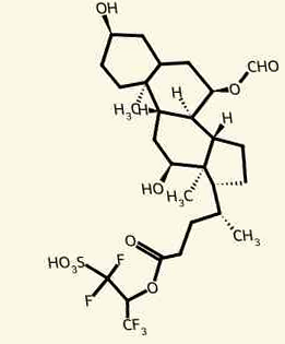 C[C@H](CCC(=O)OC(C(F)(F)F)C(F)(F)S(=O)(=O)O)[C@H]1CC[C@H]2[C@@H]3[C@H](OC=O)CC4C[C@H](O)CC[C@]4(C)[C@H]3C[C@H](O)[C@]12C